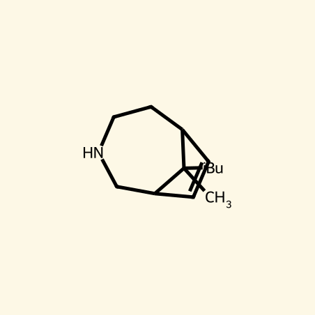 CCC(C)C1(C)C2C=CC1CNCC2